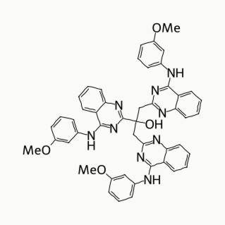 COc1cccc(Nc2nc(CC(O)(Cc3nc(Nc4cccc(OC)c4)c4ccccc4n3)c3nc(Nc4cccc(OC)c4)c4ccccc4n3)nc3ccccc23)c1